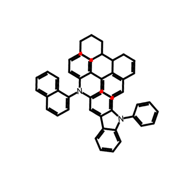 C1=Cc2cccc(-c3ccccc3N(c3ccc4c(c3)c3ccccc3n4-c3ccccc3)c3cccc4ccccc34)c2C(C2CCCCC2)C1